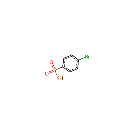 O=S(=O)(S)c1ccc(Br)cc1